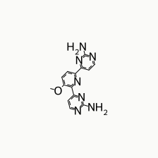 COc1ccc(-c2ccnc(N)n2)nc1-c1ccnc(N)n1